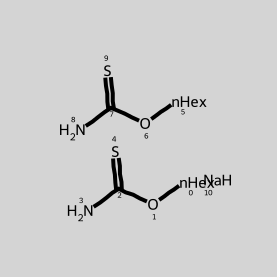 CCCCCCOC(N)=S.CCCCCCOC(N)=S.[NaH]